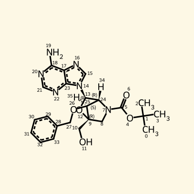 CC(C)(C)OC(=O)N1C[C@]2(CO)O[C@@H](n3cnc4c(N)ncnc43)[C@H]1[C@@H]2OCc1ccccc1